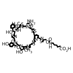 Cc1sc2nc1C(=O)N[C@@H]([C@H](O)c1ccccc1)c1nc(cs1)C(=O)N[C@@H](Cc1ccc(O)cc1)C(=O)N1C[C@H](O)[C@H](C)[C@H]1c1nc(cs1)-c1nc(cs1)-c1nc(-c3nc(COC(=O)NCCCCCC(=O)O)cs3)ccc1-c1nc(cs1)C(=O)N[C@H]2CC(N)=O